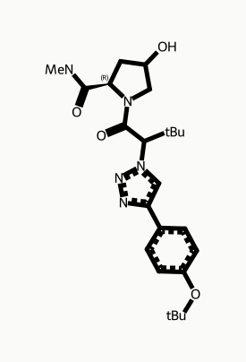 CNC(=O)[C@H]1CC(O)CN1C(=O)C(n1cc(-c2ccc(OC(C)(C)C)cc2)nn1)C(C)(C)C